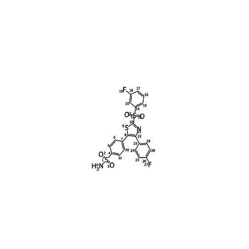 NS(=O)(=O)c1ccc(-c2sc(S(=O)(=O)c3cccc(F)c3)nc2-c2ccc(F)cc2)cc1